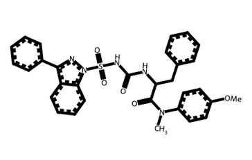 COc1ccc(N(C)C(=O)C(Cc2ccccc2)NC(=O)NS(=O)(=O)n2nc(-c3ccccc3)c3ccccc32)cc1